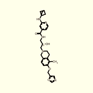 Cc1c(OCc2cnco2)ccc2c1CCN(C[C@@H](O)CNC(=O)c1ccnc(NC34CC(C3)C4)c1)C2